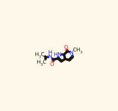 CC(C)NC(=O)C1=CC2C=CN(C)C(=O)C2N1